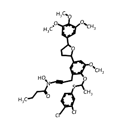 CCCC(=O)N(O)C#CCc1cc(C2CCC(c3cc(OC)c(OC)c(OC)c3)O2)cc(OC)c1OC(C)Sc1ccc(Cl)c(Cl)c1